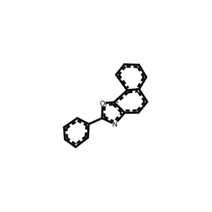 c1ccc(-c2nc3ccc4ccccc4c3o2)cc1